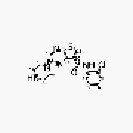 O=C(Nc1ccccc1Cl)c1csc2ncc(N3CCNCC3)nc12